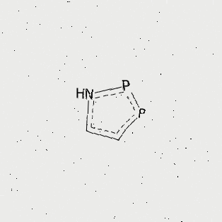 c1cpp[nH]1